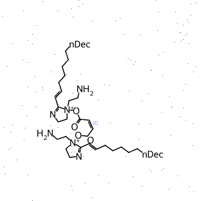 CCCCCCCCCCCCCCCC=CC1=NCC[N+]1(CCN)OC(=O)/C=C\C(=O)O[N+]1(CCN)CCN=C1C=CCCCCCCCCCCCCCCC